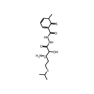 CC(C)SCC[C@@H](N)C(O)C(=O)NNC(=O)C1=CC=CC(C)C1=S